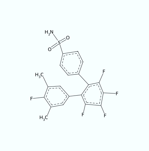 Cc1cc(-c2c(F)c(F)c(F)c(F)c2-c2ccc(S(N)(=O)=O)cc2)cc(C)c1F